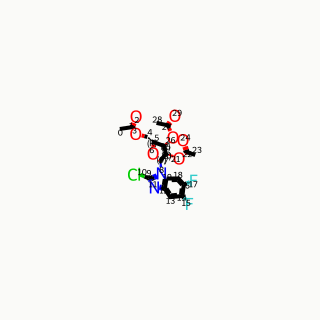 CC(=O)OC[C@H]1O[C@H](n2c(Cl)nc3cc(F)c(F)cc32)[C@H](OC(C)=O)[C@@H]1OC(C)=O